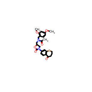 COc1ccc(CN(CC2CN(c3ccc4c(c3)SCCCC4=O)C(=O)O2)C(C)=O)c(OC)c1